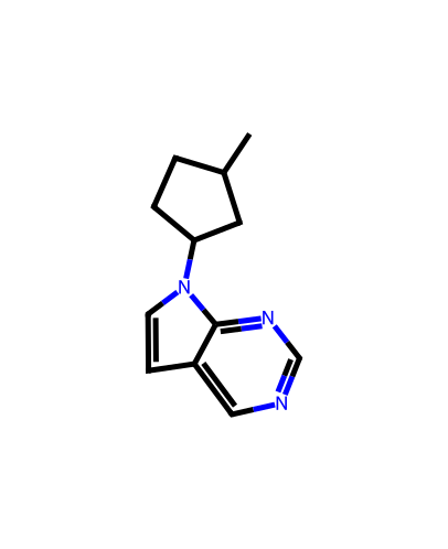 CC1CCC(n2ccc3cncnc32)C1